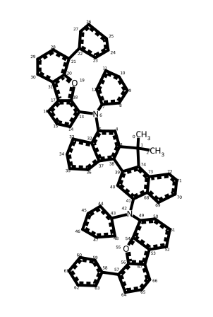 CC1(C)c2cc(N(c3ccccc3)c3cccc4c3oc3c(-c5ccccc5)cccc34)c3ccccc3c2-c2cc(N(c3ccccc3)c3cccc4c3oc3c(-c5ccccc5)cccc34)c3ccccc3c21